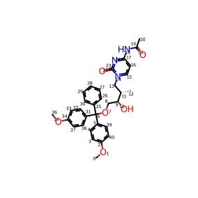 COc1ccc(C(OC[C@H](O)[C@@H](C)Cn2ccc(NC(C)=O)nc2=O)(c2ccccc2)c2ccc(OC)cc2)cc1